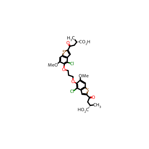 COc1cc2sc(C(=O)C[C@H](C)C(=O)O)cc2c(Cl)c1OCCCOc1c(OC)cc2sc(C(=O)C[C@H](C)C(=O)O)cc2c1Cl